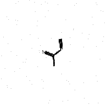 C=PC(C)=S